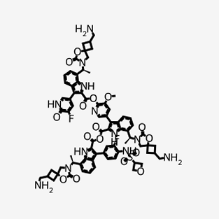 COc1cc(-c2c(C(=O)OC(=O)c3[nH]c4c([C@H](C)N5CC6(CC(CN)C6)OC5=O)cccc4c3-c3ccc(NS(=O)(=O)C4COC4)c(F)c3)[nH]c3c([C@H](C)N4CC5(CC(CN)C5)OC4=O)cccc23)cnc1OC(=O)c1[nH]c2c([C@H](C)N3CC4(CC(CN)C4)OC3=O)cccc2c1-c1c[nH]c(=O)c(F)c1